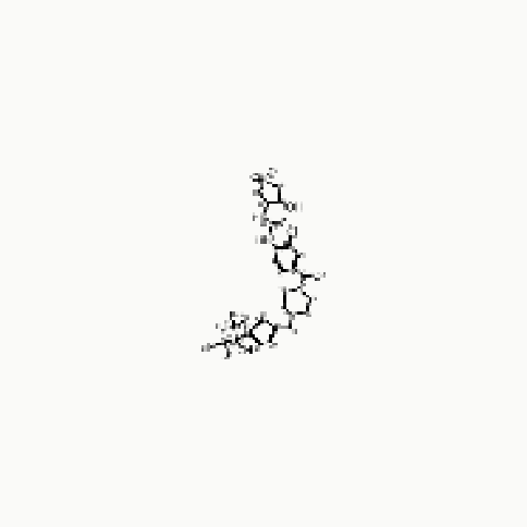 O=C(Nc1ccc(C(=O)N2CCN(Cc3ccc(C(O)(C(F)(F)F)C(F)(F)F)cc3)CC2)cc1Cl)NC1CS(=O)(=O)CC1O